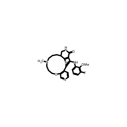 COc1c(F)cccc1Nc1c2[nH]c3c1C(=O)NCC3CCCN(C)CCCOc1cnccc1-2